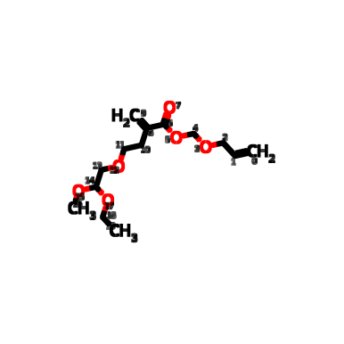 C=CCOCOC(=O)C(=C)CCOCC(OC)OCC